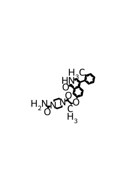 Cc1ccccc1-c1c[nH]c(=O)c2cc(O[C@H](C)C(=O)N3CCN(C(N)=O)CC3)ccc12